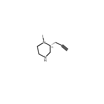 C#CC[C@@H]1CNCCN1I